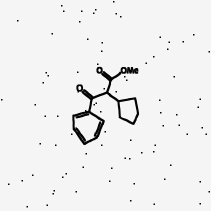 COC(=O)C(C(=O)c1ccccc1)C1CCCC1